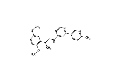 COc1ccc(SC)cc1C(C)CNc1cc(-c2ccc(C)nc2)ncn1